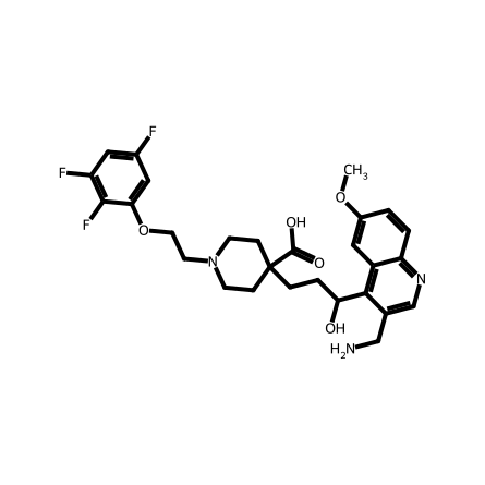 COc1ccc2ncc(CN)c(C(O)CCC3(C(=O)O)CCN(CCOc4cc(F)cc(F)c4F)CC3)c2c1